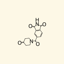 O=C1CCN(C(=O)c2ccc3c(c2)C(=O)NC3=O)CC1